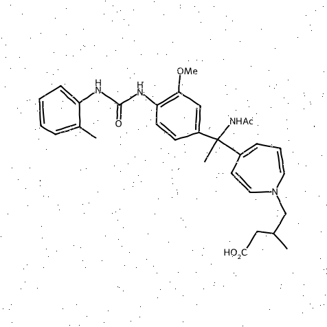 COc1cc(C(C)(NC(C)=O)C2=CC=CN(CC(C)CC(=O)O)C=C2)ccc1NC(=O)Nc1ccccc1C